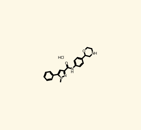 Cl.Cn1nc(C(=O)Nc2ccc(C3CNCCO3)cc2)cc1-c1ccccc1